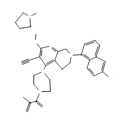 C=C(F)C(=O)N1CCN(c2c(C#N)c(OC[C@@H]3CCCN3C)nc3c2CCN(c2cccc4cc(O)ccc24)C3)C[C@@H]1C